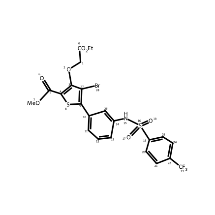 CCOC(=O)COc1c(C(=O)OC)sc(-c2cccc(NS(=O)(=O)c3ccc(C(F)(F)F)cc3)c2)c1Br